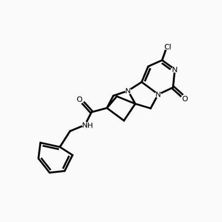 O=C(NCc1ccccc1)C12CN3c4cc(Cl)nc(=O)n4CC3(C1)C2